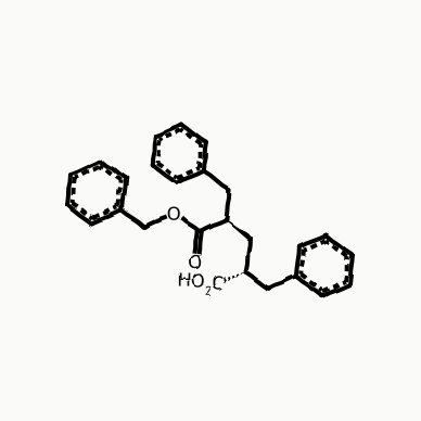 O=C(O)[C@@H](Cc1ccccc1)C[C@H](Cc1ccccc1)C(=O)OCc1ccccc1